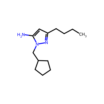 CCCCc1cc(N)n(CC2CCCC2)n1